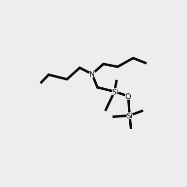 CCCCN(CCCC)C[Si](C)(C)O[Si](C)(C)C